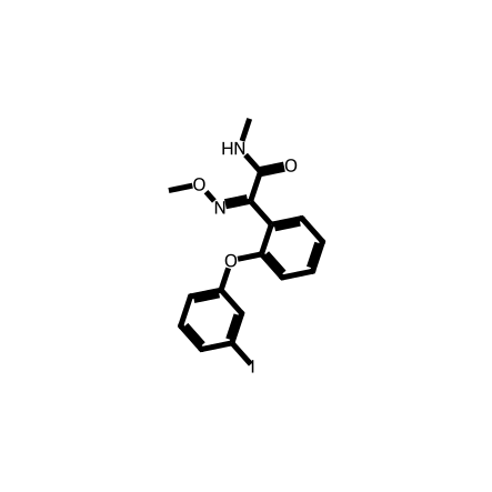 CNC(=O)C(=NOC)c1ccccc1Oc1cccc(I)c1